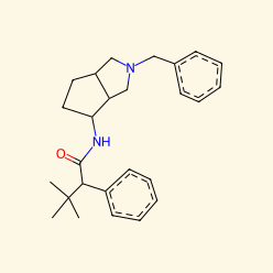 CC(C)(C)C(C(=O)NC1CCC2CN(Cc3ccccc3)CC21)c1ccccc1